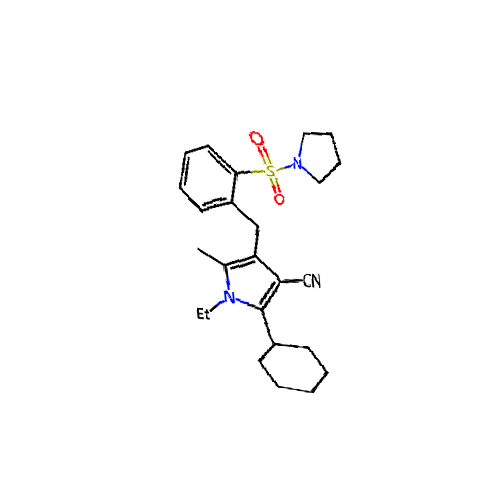 CCn1c(C)c(Cc2ccccc2S(=O)(=O)N2CCCC2)c(C#N)c1C1CCCCC1